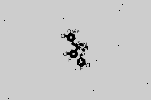 COc1ccc(Cc2sc3nnc(SCc4ccc(F)c(Cl)c4)n3c2-c2ccc(F)c(Cl)c2)cc1Cl